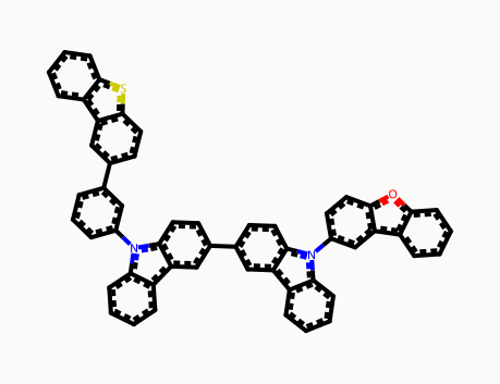 c1cc(-c2ccc3sc4ccccc4c3c2)cc(-n2c3ccccc3c3cc(-c4ccc5c(c4)c4ccccc4n5-c4ccc5oc6ccccc6c5c4)ccc32)c1